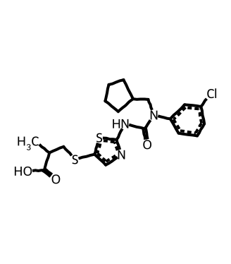 CC(CSc1cnc(NC(=O)N(CC2CCCC2)c2cccc(Cl)c2)s1)C(=O)O